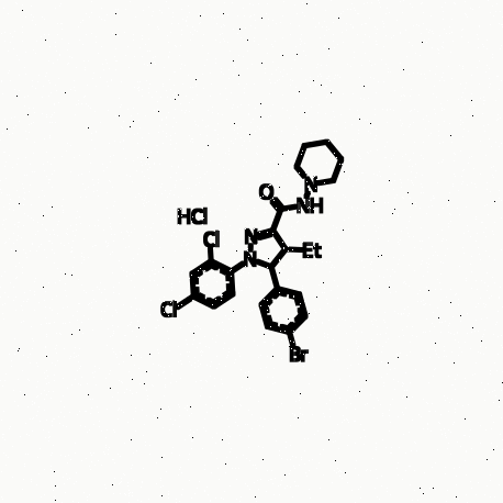 CCC1C(C(=O)NN2CCCCC2)=NN(c2ccc(Cl)cc2Cl)C1c1ccc(Br)cc1.Cl